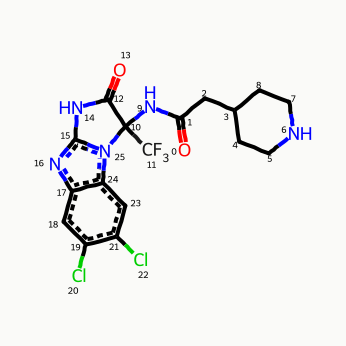 O=C(CC1CCNCC1)NC1(C(F)(F)F)C(=O)Nc2nc3cc(Cl)c(Cl)cc3n21